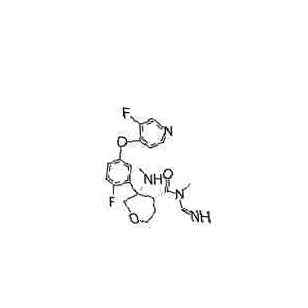 CN[C@@]1(c2cc(Oc3ccncc3F)ccc2F)COCC[C@H]1C(=O)N(C)C=N